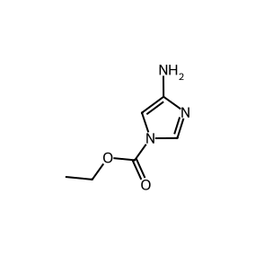 CCOC(=O)n1cnc(N)c1